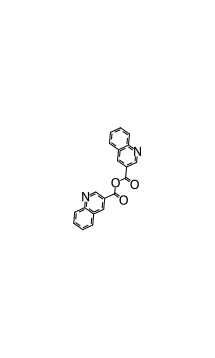 O=C(OC(=O)c1cnc2ccccc2c1)c1cnc2ccccc2c1